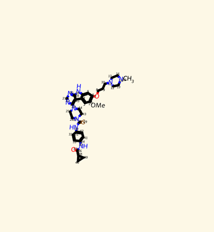 COc1cc2c(cc1OCCCN1CCN(C)CC1)[nH]c1ncnc(N3CCN(C(=S)Nc4ccc(NC(=O)C5CC5)cc4)CC3)c12